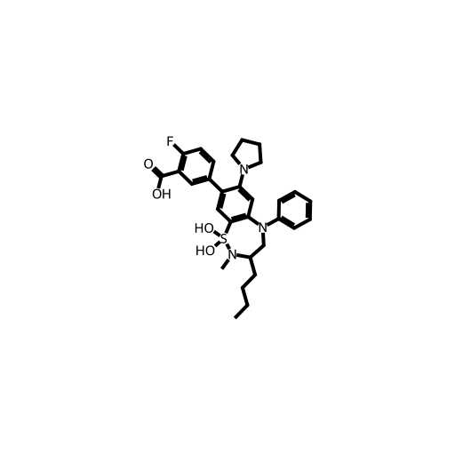 CCCCC1CN(c2ccccc2)c2cc(N3CCCC3)c(-c3ccc(F)c(C(=O)O)c3)cc2S(O)(O)N1C